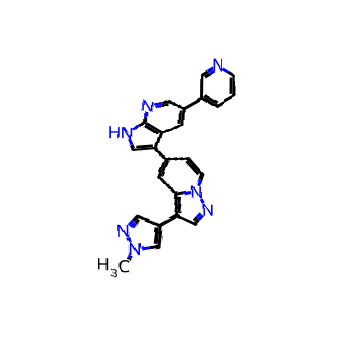 Cn1cc(-c2cnn3ccc(-c4c[nH]c5ncc(-c6cccnc6)cc45)cc23)cn1